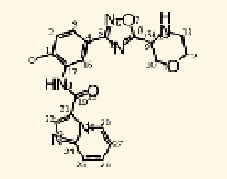 Cc1ccc(-c2noc([C@@H]3COCCN3)n2)cc1NC(=O)c1cnc2ccccn12